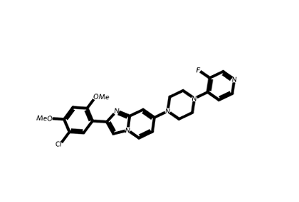 COc1cc(OC)c(-c2cn3ccc(N4CCN(c5ccncc5F)CC4)cc3n2)cc1Cl